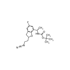 C[C@@H](NC(=O)OC(C)(C)C)c1cc(F)cc2c1OC(CCN=[N+]=[N-])C2